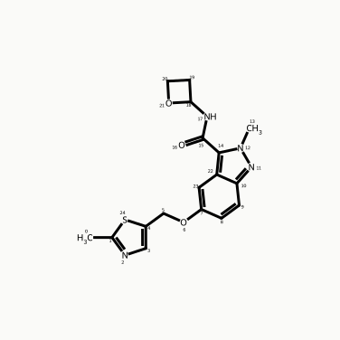 Cc1ncc(COc2ccc3nn(C)c(C(=O)NC4CCO4)c3c2)s1